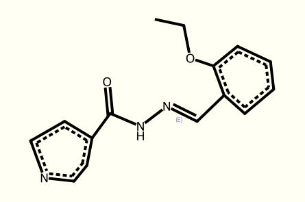 CCOc1ccccc1/C=N/NC(=O)c1ccncc1